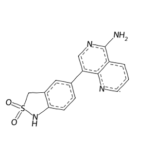 Nc1ncc(-c2ccc3c(c2)CS(=O)(=O)N3)c2n[c]ccc12